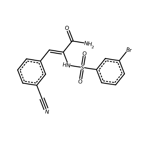 N#Cc1cccc(C=C(NS(=O)(=O)c2cccc(Br)c2)C(N)=O)c1